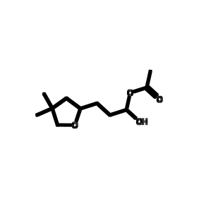 CC(=O)OC(O)CCC1CC(C)(C)CO1